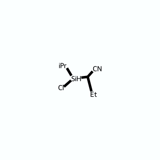 CCC(C#N)[SiH](Cl)C(C)C